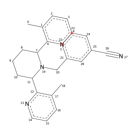 Cc1cccnc1C1CCCC(c2ncccc2C)N1Cc1cccc(C#N)c1